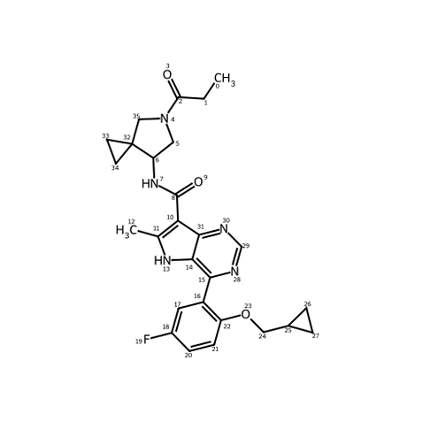 CCC(=O)N1CC(NC(=O)c2c(C)[nH]c3c(-c4cc(F)ccc4OCC4CC4)ncnc23)C2(CC2)C1